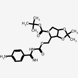 CC(C)(C)OC(=O)N1CC2OC(C)(C)OC2C1COC(=O)NC(=N)c1ccc(N)cc1